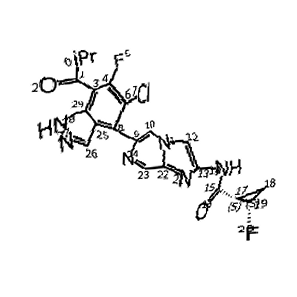 CC(C)C(=O)c1c(F)c(Cl)c(-c2cn3cc(NC(=O)[C@@H]4C[C@@H]4F)nc3cn2)c2cn[nH]c12